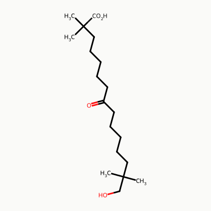 CC(C)(CO)CCCCCC(=O)CCCCCC(C)(C)C(=O)O